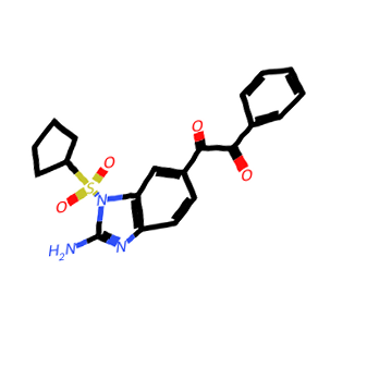 Nc1nc2ccc(C(=O)C(=O)c3ccccc3)cc2n1S(=O)(=O)C1CCCC1